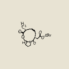 C[C@H]1CC=CC[C@@H](CC(=O)OC(C)(C)C)C(=O)N2CCC[C@H]2COC1=O